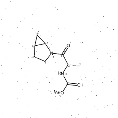 COC(=O)N[C@@H](C)C(=O)N1CCC2CC21